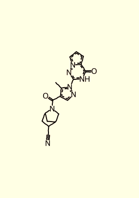 Cc1c(C(=O)N2CC3CC2CC3C#N)cnn1-c1nn2cccc2c(=O)[nH]1